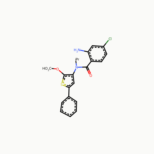 CC(C)N(C(=O)c1ccc(Cl)cc1N)c1cc(-c2ccccc2)sc1OC(=O)O